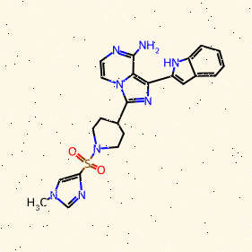 Cn1cnc(S(=O)(=O)N2CCC(c3nc(-c4cc5ccccc5[nH]4)c4c(N)nccn34)CC2)c1